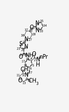 CCCNC(=O)c1cc(CN2[C@H](C)COC[C@@H]2C)ccc1NC(=O)c1csc(N2CCC(Oc3ncccn3)CC2)n1